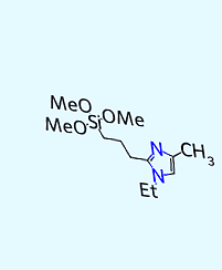 CCn1cc(C)nc1CCC[Si](OC)(OC)OC